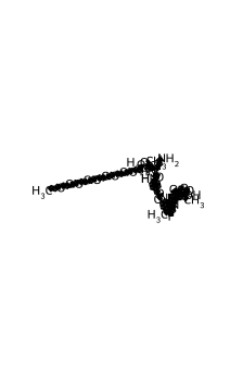 CCCCOCCOCCOCCOCCOCCOCCOCCOCCOCCC(=O)N[C@H](C(=O)N[C@@H](CCCCN)C(=O)Nc1ccc(COC(=O)N[C@H]2CCc3c(C)c(F)cc4nc5c(c2c34)Cn2c-5cc3c(c2=O)COC(=O)[C@]3(O)CC)cc1)C(C)C